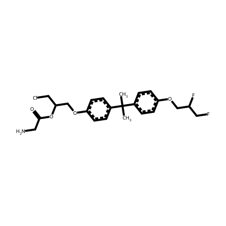 CC(C)(c1ccc(OCC(F)CF)cc1)c1ccc(OCC(CCl)OC(=O)CN)cc1